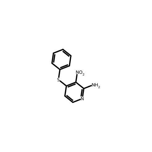 Nc1nccc(Sc2ccccc2)c1[N+](=O)[O-]